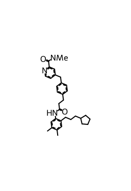 CNC(=O)c1cc(Cc2ccc(CCC(=O)Nc3cc(C)c(C)cc3CCCC3CCCC3)cc2)ccn1